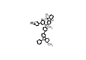 C#C/C=C\C(=C/C)c1cccc(N(c2ccc(-c3ccc4c(c3)c3c(n4-c4ccccc4)CC(C)CC3)cc2)[C@]2(C)C=C3C(=CC2)[C@@H]2C=CC=CC2C3(C)C)c1